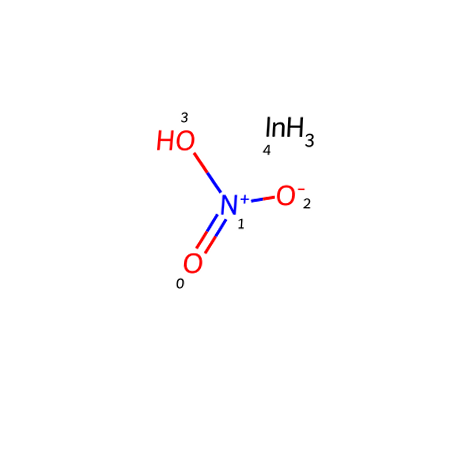 O=[N+]([O-])O.[InH3]